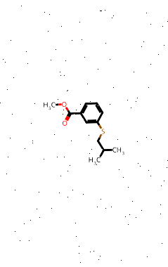 COC(=O)c1cccc(SCC(C)C)c1